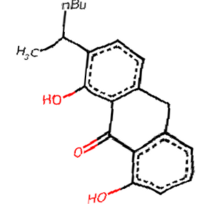 CCCCC(C)c1ccc2c(c1O)C(=O)c1c(O)cccc1C2